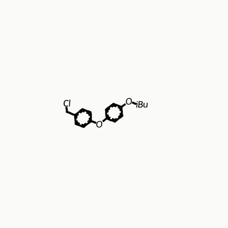 CCC(C)Oc1ccc(Oc2ccc(CCl)cc2)cc1